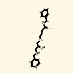 O=C(CCCOCC(O)CNCc1ccncc1)OCc1ccccc1